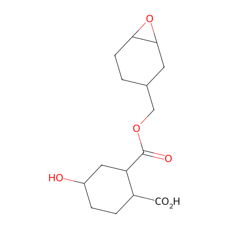 O=C(O)C1CCC(O)CC1C(=O)OCC1CCC2OC2C1